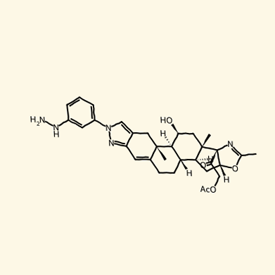 CC(=O)OCC(=O)[C@@]12N=C(C)O[C@@H]1C[C@H]1[C@@H]3CCC4=Cc5nn(-c6cccc(NN)c6)cc5C[C@]4(C)[C@H]3[C@@H](O)C[C@@]12C